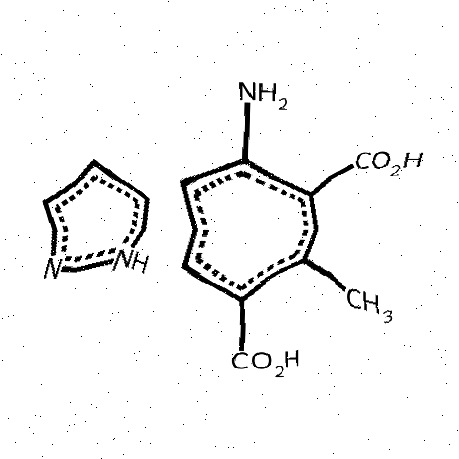 Cc1c(C(=O)O)ccc(N)c1C(=O)O.c1cn[nH]c1